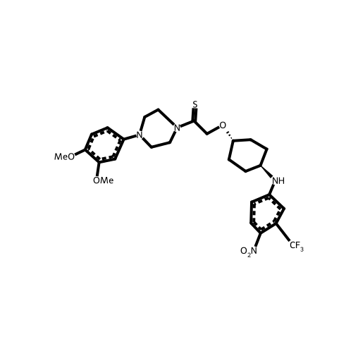 COc1ccc(N2CCN(C(=S)CO[C@H]3CC[C@H](Nc4ccc([N+](=O)[O-])c(C(F)(F)F)c4)CC3)CC2)cc1OC